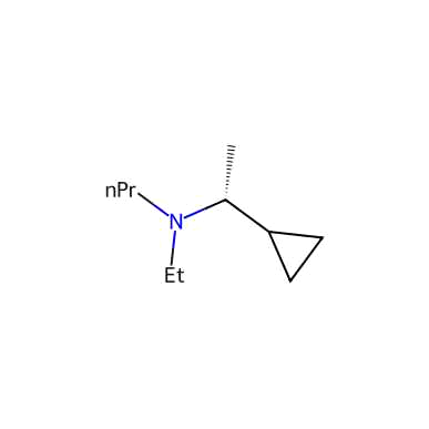 CCCN(CC)[C@H](C)C1CC1